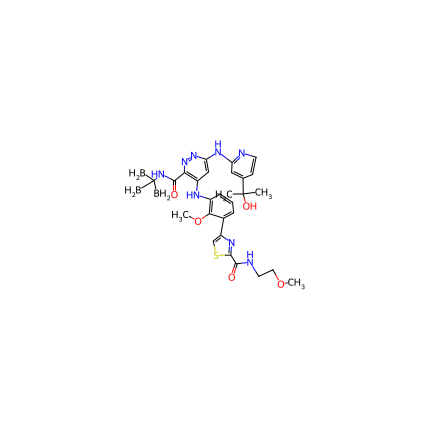 BC(B)(B)NC(=O)c1nnc(Nc2cc(C(C)(C)O)ccn2)cc1Nc1cccc(-c2csc(C(=O)NCCOC)n2)c1OC